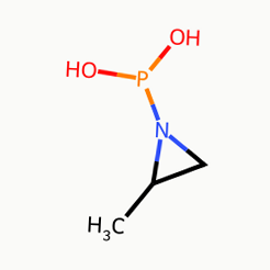 CC1CN1P(O)O